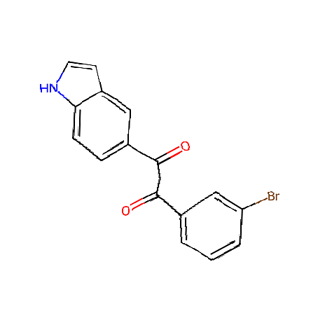 O=C(C(=O)c1ccc2[nH]ccc2c1)c1cccc(Br)c1